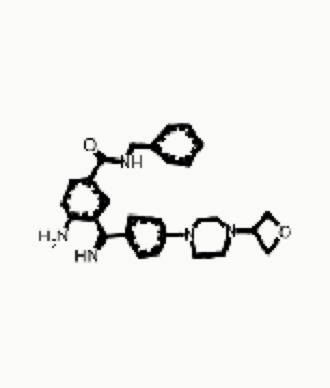 N=C(c1ccc(N2CCN(C3COC3)CC2)cc1)c1cc(C(=O)NCc2ccccc2)ccc1N